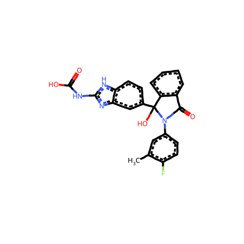 Cc1cc(N2C(=O)c3ccccc3C2(O)c2ccc3[nH]c(NC(=O)O)nc3c2)ccc1F